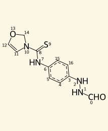 O=CNNc1ccc(NC(=S)N2C=COC2)cc1